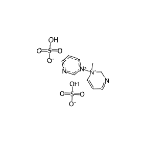 C[N+]1([n+]2cccnc2)C=CC=NC1.O=S(=O)([O-])O.O=S(=O)([O-])O